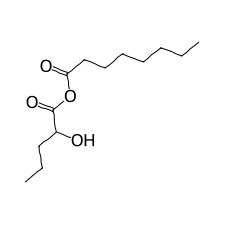 CCCCCCCC(=O)OC(=O)C(O)CCC